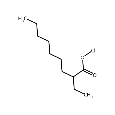 CCCCCCCC(CC)C(=O)OCl